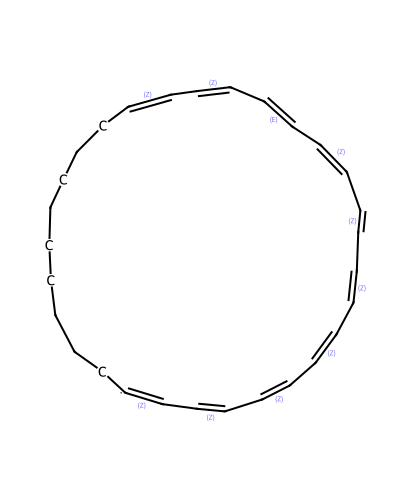 [C]1=C/C=C\C=C/C=C\C=C/C=C\C=C/C=C/C=C\C=C/CCCCCCCCC\1